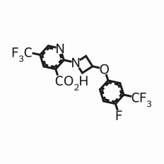 O=C(O)c1cc(C(F)(F)F)cnc1N1CC(Oc2ccc(F)c(C(F)(F)F)c2)C1